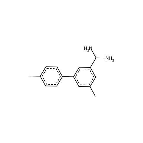 Cc1ccc(-c2cc(C)cc(C(N)N)c2)cc1